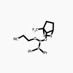 CC(C)N(C(C)C)P(OCCC#N)OC1C2CCC1(C(F)(F)F)SS2